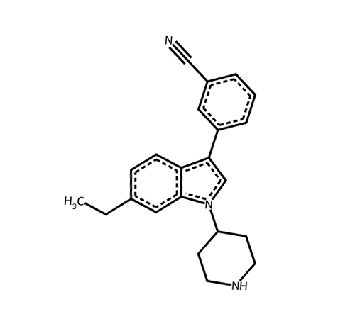 CCc1ccc2c(-c3cccc(C#N)c3)cn(C3CCNCC3)c2c1